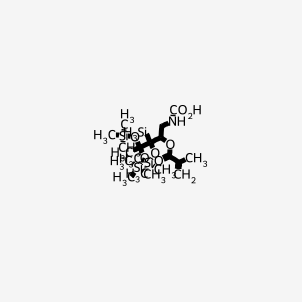 C=C(C)C(=O)OC(CNC(=O)O)C([SiH3])(O[Si](C)(C)C)C(C)(O[Si](C)(C)C)O[Si](C)(C)C